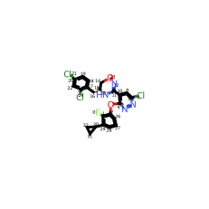 Fc1c(Oc2nnc(Cl)cc2C2=NOC[C@@H](Cc3ccc(Cl)cc3Cl)N2)cccc1C1CC1